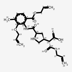 C=CCOC(=O)c1ccc(C)c(OCC=C)c1NC(=O)C1C[C@@H]([C@@H](C(=O)OCC=C)C(O)=S)CN1